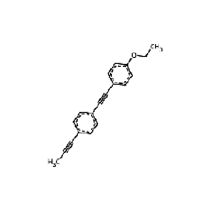 CC#Cc1ccc(C#Cc2ccc(OCC)cc2)cc1